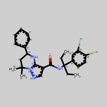 CCC(CC)(NC(=O)c1cnn2c1NC(c1ccccc1)CC2(C)C)c1ccc(F)c(F)c1